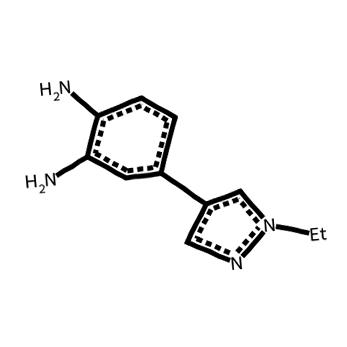 CCn1cc(-c2ccc(N)c(N)c2)cn1